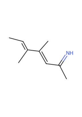 C/C=C(C)/C(C)=C/C(C)=N